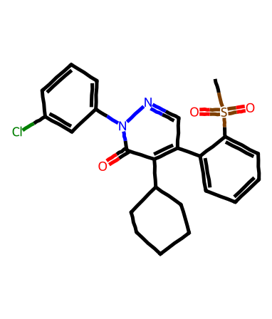 CS(=O)(=O)c1ccccc1-c1cnn(-c2cccc(Cl)c2)c(=O)c1C1CCCCC1